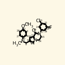 COc1ccc(N(C)Cc2cc3n(n2)CCN(c2cc(F)cc(Cl)c2)C3=O)cc1